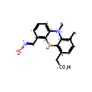 Cc1ccc(CC(=O)O)c2c1N(C)c1cccc(C=NO)c1S2